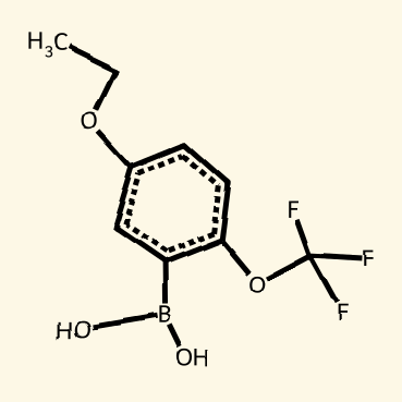 CCOc1ccc(OC(F)(F)F)c(B(O)O)c1